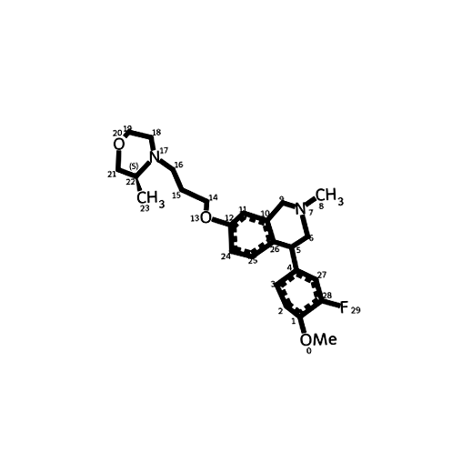 COc1ccc(C2CN(C)Cc3cc(OCCCN4CCOC[C@@H]4C)ccc32)cc1F